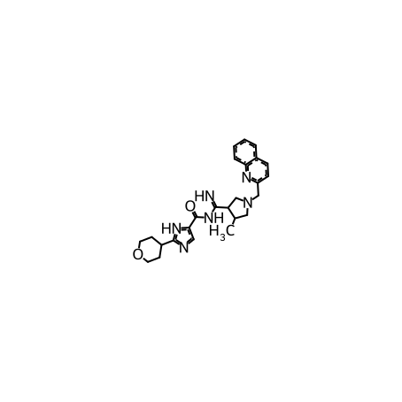 CC1CN(Cc2ccc3ccccc3n2)CC1C(=N)NC(=O)c1cnc(C2CCOCC2)[nH]1